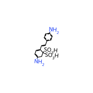 NC1=CC=C(C=Cc2ccc(N)cc2)C(S(=O)(=O)O)(S(=O)(=O)O)C1